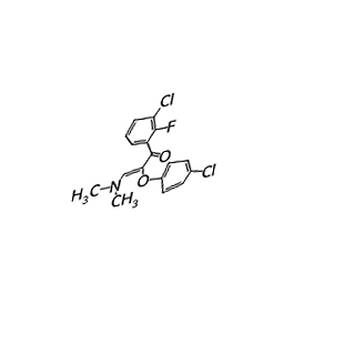 CN(C)C=C(Oc1ccc(Cl)cc1)C(=O)c1cccc(Cl)c1F